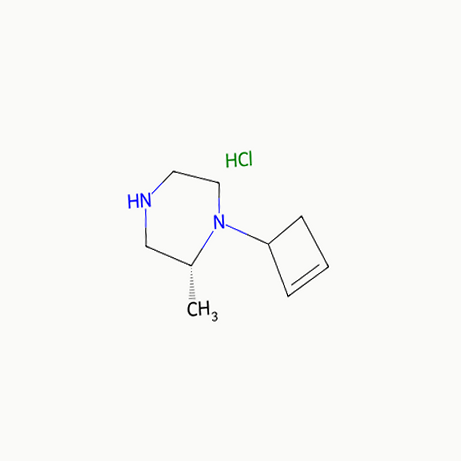 C[C@@H]1CNCCN1C1C=CC1.Cl